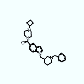 O=C(c1ccc2c(ccn2CC2CCCN(Cc3ccccc3)C2)c1)N1CCN(C2CCC2)CC1